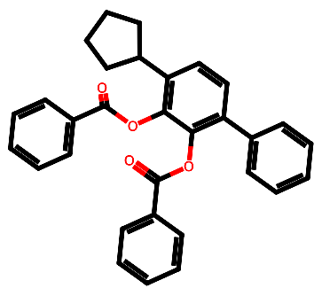 O=C(Oc1c(-c2ccccc2)ccc(C2CCCC2)c1OC(=O)c1ccccc1)c1ccccc1